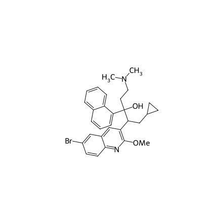 COc1nc2ccc(Br)cc2cc1C(CC1CC1)C(O)(CCN(C)C)c1cccc2ccccc12